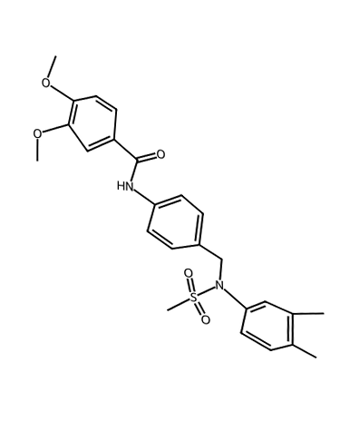 COc1ccc(C(=O)Nc2ccc(CN(c3ccc(C)c(C)c3)S(C)(=O)=O)cc2)cc1OC